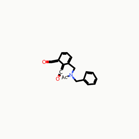 CC(=O)N(Cc1ccccc1)Cc1cccc(=C=O)c1=C=O